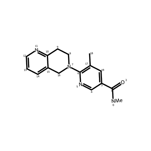 CNC(=O)c1cnc(N2CCc3ncccc3C2)c(C)c1